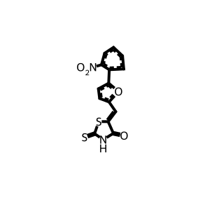 O=C1NC(=S)S/C1=C\c1ccc(-c2ccccc2[N+](=O)[O-])o1